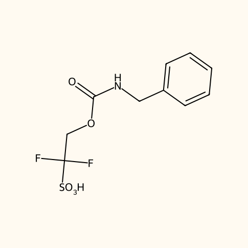 O=C(NCc1ccccc1)OCC(F)(F)S(=O)(=O)O